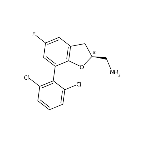 NC[C@@H]1Cc2cc(F)cc(-c3c(Cl)cccc3Cl)c2O1